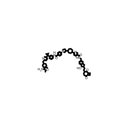 CC1OCC2(CCC(Cc3ccc(C4(c5cccc(NC(=O)c6ccc(N7CCC(C8CCCC(c9ccc(C(=O)NCc%10ccc%11c(c%10)CC(CCC%10CCC(=O)C%12CCC%12C%10=O)C%11O)cn9)CC8)C7)cc6)c5)CC4)cn3)CC2)C1N